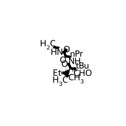 C=CCNC(=O)C(=O)C(CCC)NC(=O)C([C@@H](C=O)C(C)(C)C)[C@@H]1[C@H](CC)C1(C)C